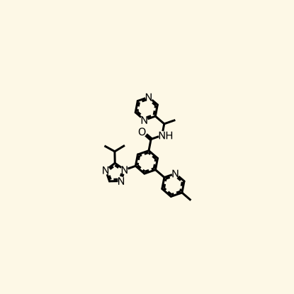 Cc1ccc(-c2cc(C(=O)NC(C)c3cnccn3)cc(-n3ncnc3C(C)C)c2)nc1